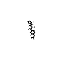 CC1COc2cc(C(=O)N[C@@H]3C[C@@H]4CCN(C4)C3)ccc2O1